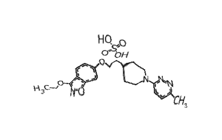 CCOc1noc2cc(OCCC3CCN(c4ccc(C)nn4)CC3)ccc12.O=S(=O)(O)O